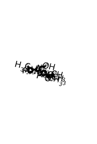 Cc1cc(-c2cn(CCO)c(C3CCN(C(=O)OC(C)(C)C)CC3F)n2)ccc1F